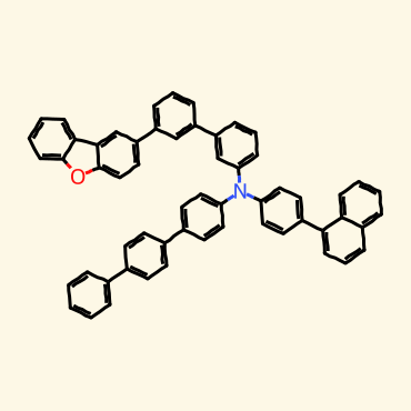 c1ccc(-c2ccc(-c3ccc(N(c4ccc(-c5cccc6ccccc56)cc4)c4cccc(-c5cccc(-c6ccc7oc8ccccc8c7c6)c5)c4)cc3)cc2)cc1